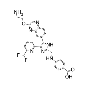 NCCOc1cnc2ccc(-c3[nH]c(CNc4ccc(C(=O)O)cc4)nc3-c3cccc(C(F)F)n3)cc2n1